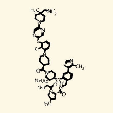 CC(=O)N[C@H](C(=O)N1C[C@H](O)C[C@H]1C(=O)NCc1ccc(-c2scnc2C)cc1OC1CCN(C(=O)C2CCN(c3cccc(Sc4cnc(N5CCC(C)(CN)CC5)cn4)c3Cl)CC2)CC1)C(C)(C)C